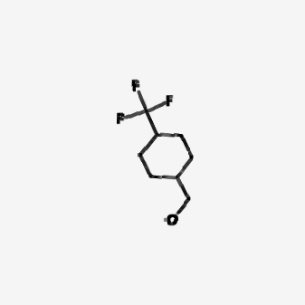 [O]CC1CCC(C(F)(F)F)CC1